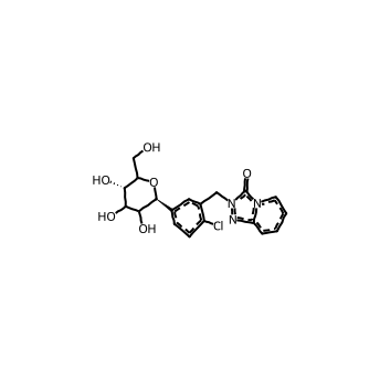 O=c1n(Cc2cc([C@@H]3OC(CO)[C@@H](O)C(O)C3O)ccc2Cl)nc2ccccn12